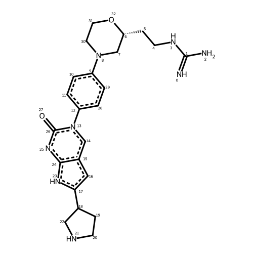 N=C(N)NCC[C@@H]1CN(c2ccc(-n3cc4cc(C5CCNC5)[nH]c4nc3=O)cc2)CCO1